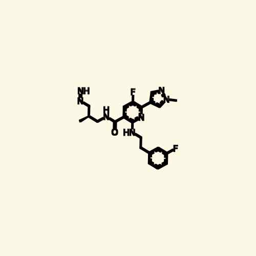 C[C@@H](CN=N)CNC(=O)c1cc(F)c(-c2cnn(C)c2)nc1NCCc1cccc(F)c1